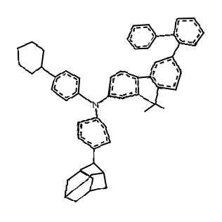 CC1(C)c2ccc(-c3ccccc3-c3ccccc3)cc2-c2ccc(N(c3ccc(C4CCCCC4)cc3)c3ccc(C4C5CC6CC(C5)CC4C6)cc3)cc21